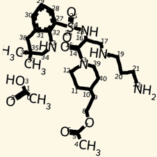 CC(=O)O.CC(=O)OCCC1CCN(C(=O)C(CNCCCN)NS(=O)(=O)c2cccc3c2NCC(C)(C)C3)CC1